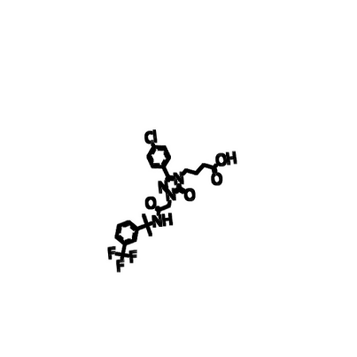 CC(C)(NC(=O)Cn1nc(-c2ccc(Cl)cc2)n(CCCC(=O)O)c1=O)c1cccc(C(F)(F)F)c1